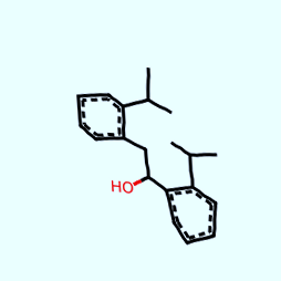 CC(C)c1ccccc1CC(O)c1ccccc1C(C)C